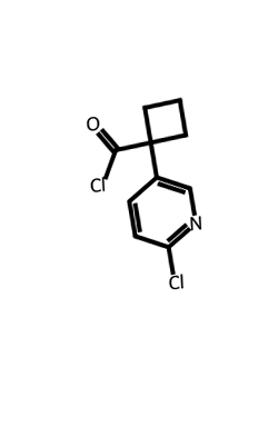 O=C(Cl)C1(c2ccc(Cl)nc2)CCC1